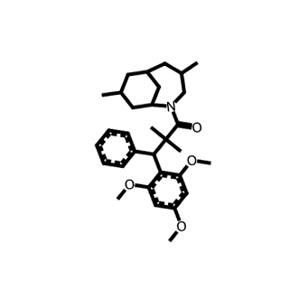 COc1cc(OC)c(C(c2ccccc2)C(C)(C)C(=O)N2CC(C)CC3CC(C)CC2C3)c(OC)c1